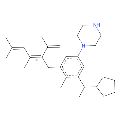 C=C(C)/C(Cc1cc(N2CCNCC2)cc(C(C)C2CCCC2)c1C)=C(/C)C=C(C)C